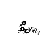 CC(C)(C)OC(=O)N1CCc2oc3c(Cl)cc([S+]([O-])c4ccccc4)cc3c2C1